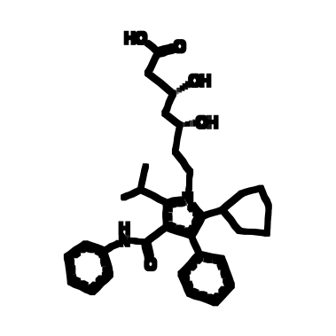 CC(C)c1c(C(=O)Nc2ccccc2)c(-c2ccccc2)c(C2CCCCC2)n1CC[C@@H](O)C[C@@H](O)CC(=O)O